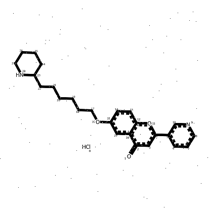 Cl.O=c1cc(-c2cccnc2)oc2ccc(OCCCCCCC3CCCCN3)cc12